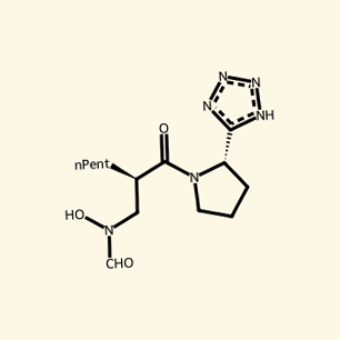 CCCCC[C@H](CN(O)C=O)C(=O)N1CCC[C@H]1c1nnn[nH]1